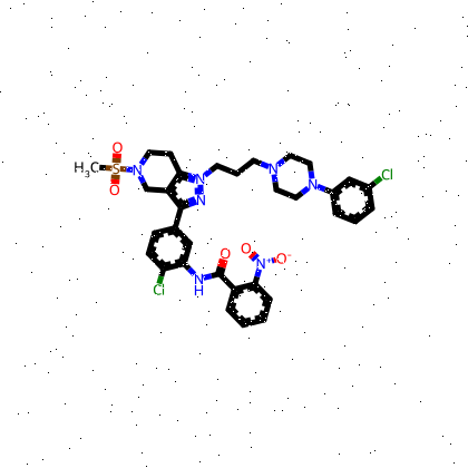 CS(=O)(=O)N1CCc2c(c(-c3ccc(Cl)c(NC(=O)c4ccccc4[N+](=O)[O-])c3)nn2CCCN2CCN(c3cccc(Cl)c3)CC2)C1